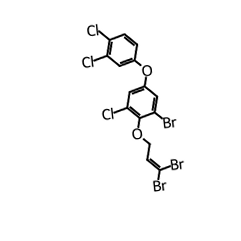 Clc1ccc(Oc2cc(Cl)c(OCC=C(Br)Br)c(Br)c2)cc1Cl